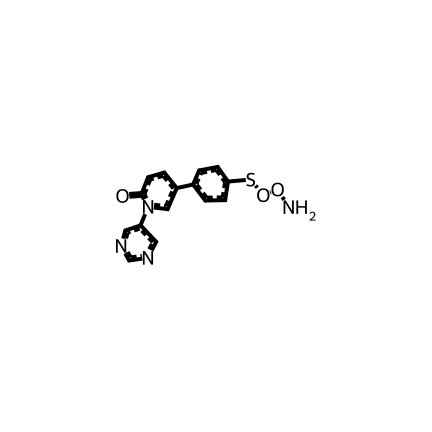 NOOSc1ccc(-c2ccc(=O)n(-c3cncnc3)c2)cc1